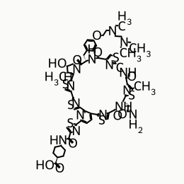 CCN(CC)CCN(CC)CCOc1ccc(C[C@@H]2NC(=O)c3csc(n3)CNC(=O)c3nc(sc3C)[C@H](CC(N)=O)NC(=O)c3csc(n3)-c3ccc(-c4nc(C(=O)N[C@H]5CC[C@H](C(=O)O)CC5)cs4)nc3-c3csc(n3)-c3csc(n3)[C@@H]3[C@@H](C)[C@@H](O)CN3C2=O)cc1